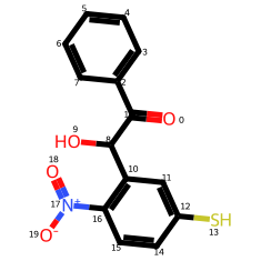 O=C(c1ccccc1)C(O)c1cc(S)ccc1[N+](=O)[O-]